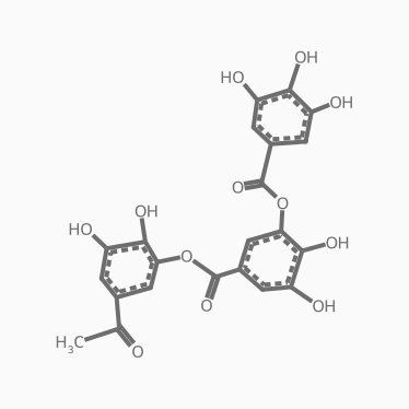 CC(=O)c1cc(O)c(O)c(OC(=O)c2cc(O)c(O)c(OC(=O)c3cc(O)c(O)c(O)c3)c2)c1